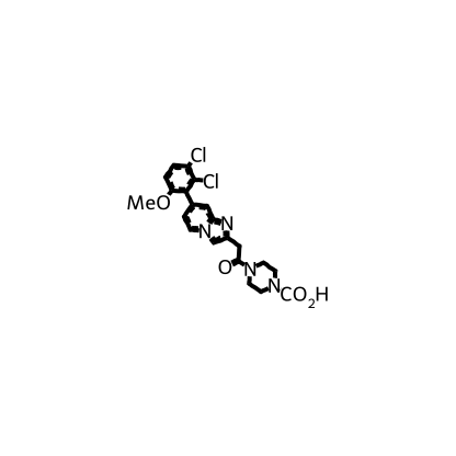 COc1ccc(Cl)c(Cl)c1-c1ccn2cc(CC(=O)N3CCN(C(=O)O)CC3)nc2c1